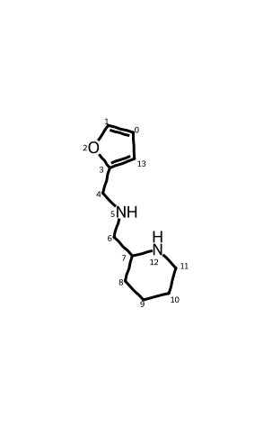 c1coc(CNCC2CCCCN2)c1